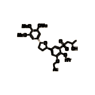 CCCOc1c(OCC(C)=O)cc([C@H]2CC[C@H](c3cc(OC)c(OC)c(OC)c3)O2)cc1S(=O)(=O)CC(C)O